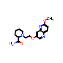 COc1ccc2ncc(OCCN3CC[CH]CC3C(N)=O)cc2n1